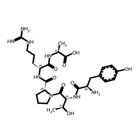 C[C@H](NC(=O)[C@@H](CCCNC(=N)N)NC(=O)[C@H]1CCCN1C(=O)[C@H](NC(=O)[C@H](N)Cc1ccc(O)cc1)[C@H](C)O)C(=O)O